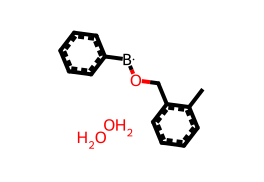 Cc1ccccc1CO[B]c1ccccc1.O.O